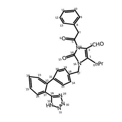 CCCc1c(C=O)n(C(=O)Cc2ccccc2)c(=O)n1Cc1ccc(-c2ccccc2-c2nnn[nH]2)cc1